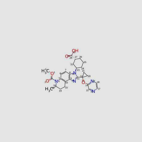 COC(=O)N1c2ccc3c(nc(C4(Oc5cnccn5)CC4)n3[C@@H]3CCC[C@@H](C(=O)O)C3)c2CCC1C